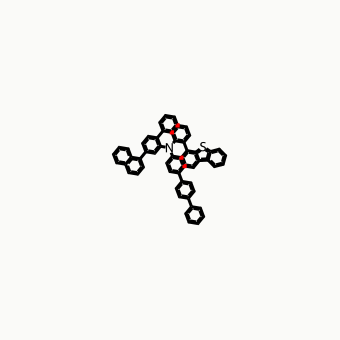 c1ccc(-c2ccc(-c3ccc(N(c4cc(-c5cccc6ccccc56)ccc4-c4ccccc4)c4ccccc4-c4cccc5c4sc4ccccc45)cc3)cc2)cc1